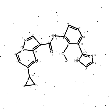 COc1c(NC(=O)c2cnn3ccc(C4CC4)nc23)cccc1-c1ncc[nH]1